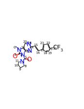 Cn1c(=O)n(C(=O)N2CCCC2)c2nc(C=Cc3ccc(C(F)(F)F)cc3)ncc21